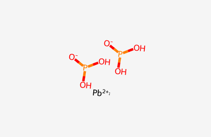 [O-]P(O)O.[O-]P(O)O.[Pb+2]